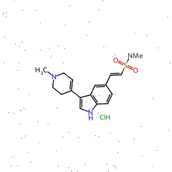 CNS(=O)(=O)/C=C/c1ccc2[nH]cc(C3=CCN(C)CC3)c2c1.Cl